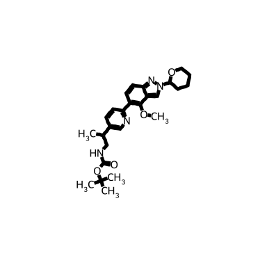 COc1c(-c2ccc(C(C)CNC(=O)OC(C)(C)C)cn2)ccc2nn(C3CCCCO3)cc12